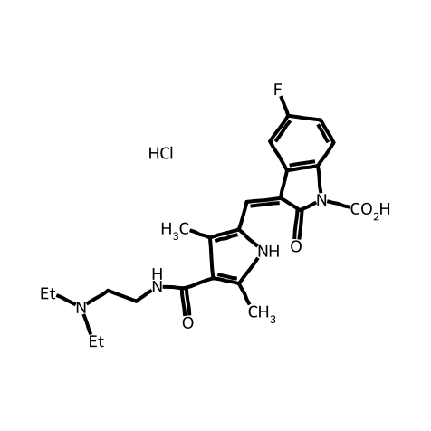 CCN(CC)CCNC(=O)c1c(C)[nH]c(C=C2C(=O)N(C(=O)O)c3ccc(F)cc32)c1C.Cl